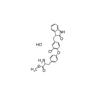 COC(=O)C(N)Cc1ccc(Oc2ccc(CC3C(=O)Nc4ccccc43)cc2Cl)cc1.Cl